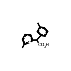 Cc1cccc(C(C(=O)O)c2cccc(C)c2)c1